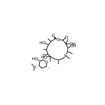 CCC1OC(=O)C(C)C(O)C(C)C(O[C@@H]2O[C@H](C)C[C@H](N(C)C)[C@H]2O)C(C)(O)CC(C)CN(C)C(C)C(O)C1(C)O